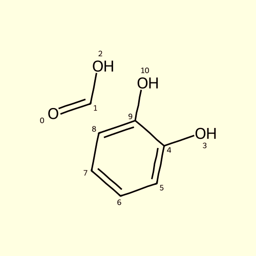 O=CO.Oc1ccccc1O